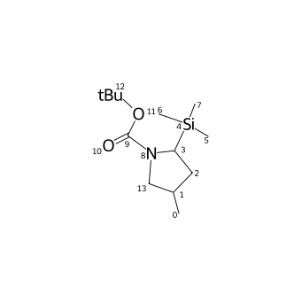 CC1CC([Si](C)(C)C)N(C(=O)OC(C)(C)C)C1